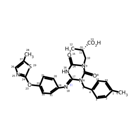 Cc1ccc(Cn2c(=O)n(C[C@H](C)C(=O)O)c(=O)[nH]/c2=N\c2ccc(Oc3ncc(C)s3)cc2)cc1